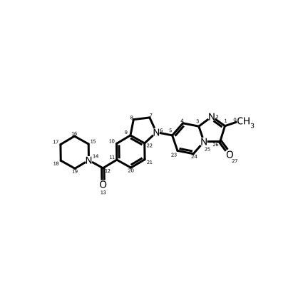 CC1=NC2C=C(N3CCc4cc(C(=O)N5CCCCC5)ccc43)C=CN2C1=O